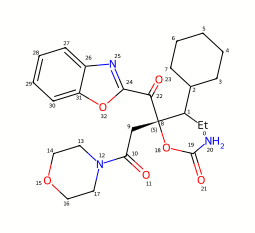 CCC(C1CCCCC1)[C@](CC(=O)N1CCOCC1)(OC(N)=O)C(=O)c1nc2ccccc2o1